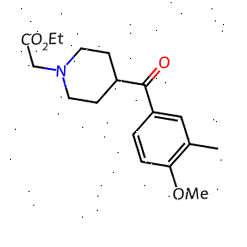 CCOC(=O)CN1CCC(C(=O)c2ccc(OC)c(C)c2)CC1